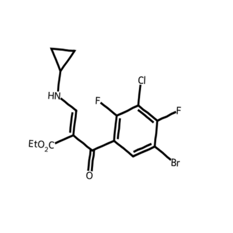 CCOC(=O)C(=CNC1CC1)C(=O)c1cc(Br)c(F)c(Cl)c1F